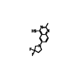 Cc1nc(S)c2cc(N3CCC(F)(F)C3)ccc2n1